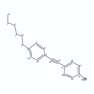 CCCCCCc1ccc(C#Cc2ccc(Br)cc2)cc1